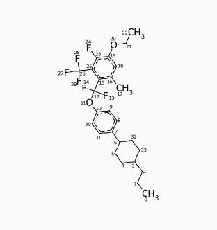 CCCC1CCC(c2ccc(OC(F)(F)c3c(C)cc(OCC)c(F)c3C(F)(F)F)cc2)CC1